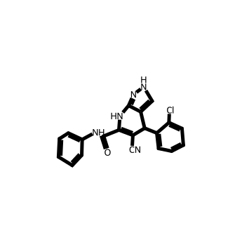 N#CC1=C(C(=O)Nc2ccccc2)Nc2n[nH]cc2C1c1ccccc1Cl